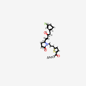 COC(=O)c1ccc(CCCN2C(=O)CCC2/C=C/C(=O)Cc2cccc(F)c2)s1